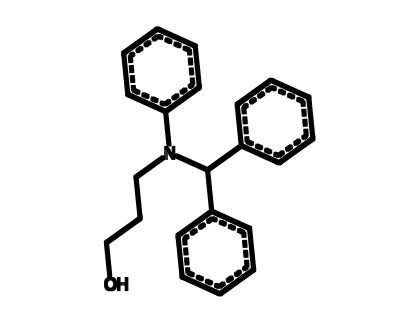 OCCCN(c1ccccc1)C(c1ccccc1)c1ccccc1